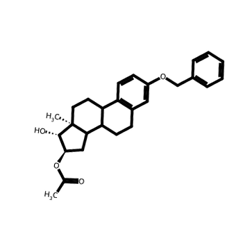 CC(=O)O[C@@H]1CC2C3CCc4cc(OCc5ccccc5)ccc4C3CC[C@]2(C)[C@H]1O